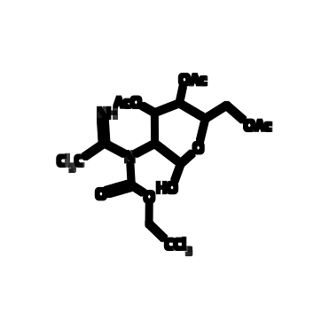 CC(=O)OCC1OC(O)C(N(C(=N)C(Cl)(Cl)Cl)C(=O)OCC(Cl)(Cl)Cl)C(OC(C)=O)C1OC(C)=O